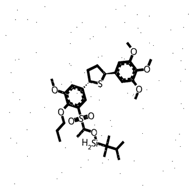 CCCOc1c(OC)cc([C@@H]2CC[C@@H](c3cc(OC)c(OC)c(OC)c3)S2)cc1S(=O)(=O)C(C)O[SiH2]C(C)(C)C(C)C